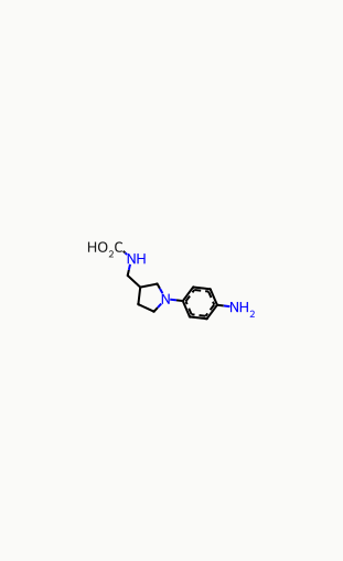 Nc1ccc(N2CCC(CNC(=O)O)C2)cc1